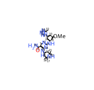 COc1cc(Nc2ncc(C(N)=O)c(NC3CC(C)(C)NC(C)(C)C3)n2)cc(-n2nnnc2C)c1